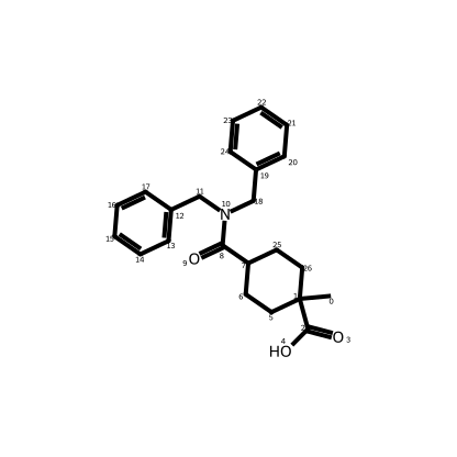 CC1(C(=O)O)CCC(C(=O)N(Cc2ccccc2)Cc2ccccc2)CC1